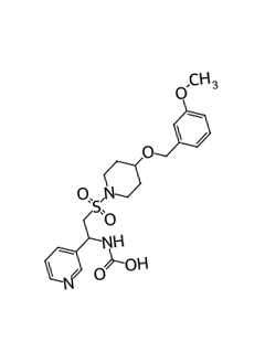 COc1cccc(COC2CCN(S(=O)(=O)CC(NC(=O)O)c3cccnc3)CC2)c1